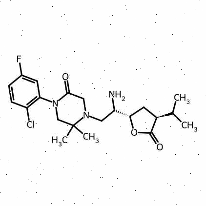 CC(C)[C@@H]1C[C@@H](C(N)CN2CC(=O)N(c3cc(F)ccc3Cl)CC2(C)C)OC1=O